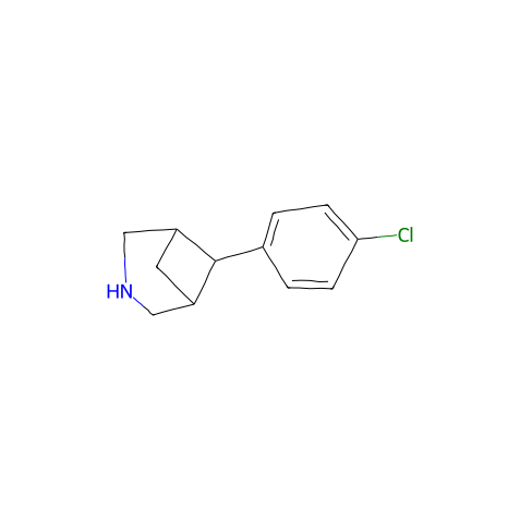 Clc1ccc(C2C3CNCC2C3)cc1